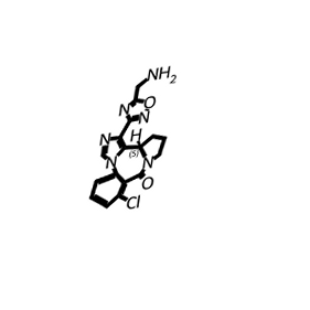 NCc1nc(-c2ncn3c2[C@@H]2CCCN2C(=O)c2c(Cl)cccc2-3)no1